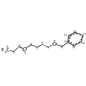 FC(F)(F)CCOCCCCOCc1ccccc1